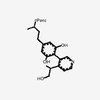 CCCCCC(C)CCc1cc(O)c(-c2cnccc2C(C)CO)c(O)c1